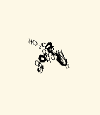 O=C(O)c1ccc2oc(C(=O)Nc3ccc(Cl)cn3)c(NC(=O)[C@H]3CC[C@H](C(=O)N4CCOCC4)CC3)c2n1